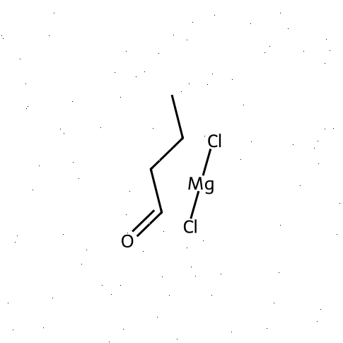 CCCC=O.[Cl][Mg][Cl]